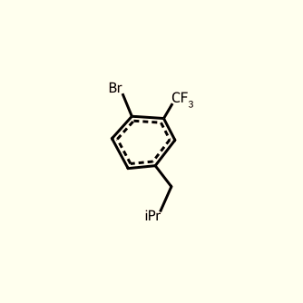 CC(C)Cc1ccc(Br)c(C(F)(F)F)c1